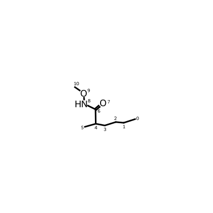 CCCCC(C)C(=O)NOC